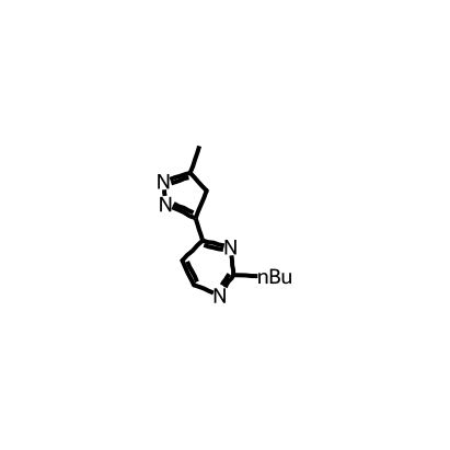 CCCCc1nccc(C2=NN=C(C)C2)n1